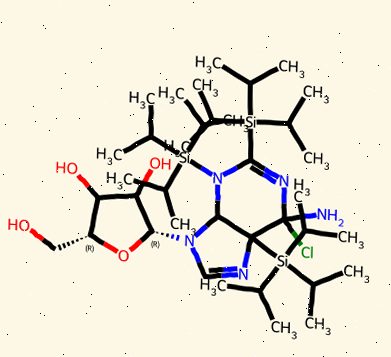 CC(C)[Si](C1=NC(N)(Cl)C2([Si](C(C)C)(C(C)C)C(C)C)N=CN([C@@H]3O[C@H](CO)C(O)C3O)C2N1[Si](C(C)C)(C(C)C)C(C)C)(C(C)C)C(C)C